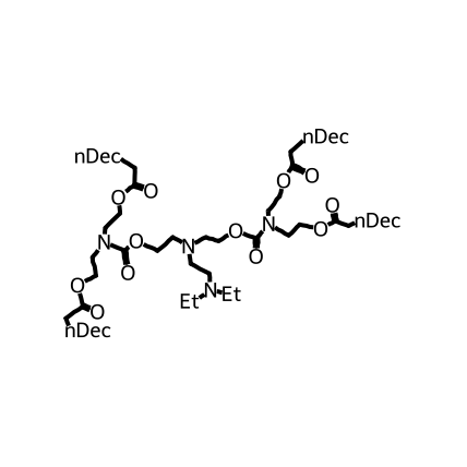 CCCCCCCCCCCC(=O)OCCN(CCOC(=O)CCCCCCCCCCC)C(=O)OCCN(CCOC(=O)N(CCOC(=O)CCCCCCCCCCC)CCOC(=O)CCCCCCCCCCC)CCN(CC)CC